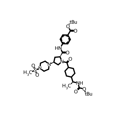 C[C@H](NC(=O)OC(C)(C)C)C1CCC(C(=O)N2C[C@@H](N3CCN(S(C)(=O)=O)CC3)C[C@H]2C(=O)Nc2ccc(C(=O)OC(C)(C)C)cc2)CC1